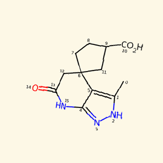 Cc1[nH]nc2c1C1(CCC(C(=O)O)C1)CC(=O)N2